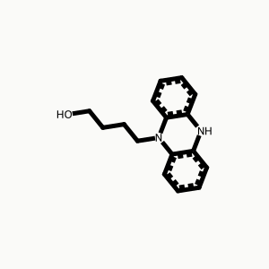 OCCCCN1c2ccccc2Nc2ccccc21